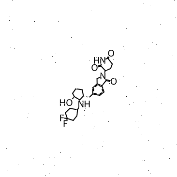 O=C1CCC(N2Cc3cc(C[C@H]4CCC[C@H](O)[C@H]4NC4CCC(F)(F)CC4)ccc3C2=O)C(=O)N1